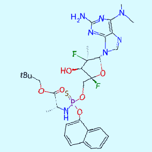 C[C@@H](NP(=S)(OC[C@@]1(F)O[C@@H](n2cnc3c(N(C)C)nc(N)nc32)[C@](C)(F)[C@@H]1O)Oc1cccc2ccccc12)C(=O)OCC(C)(C)C